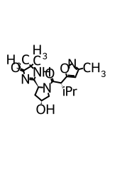 Cc1cc([C@@H](C(=O)N2C[C@H](O)C[C@H]2C2=NC(=O)C(C)(C)N2)C(C)C)on1